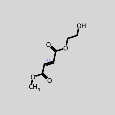 COC(=O)/C=C/C(=O)OCCO